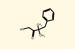 CC(C)(Cc1ccccc1)C(=O)CS